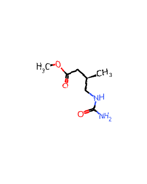 COC(=O)C[C@@H](C)CNC(N)=O